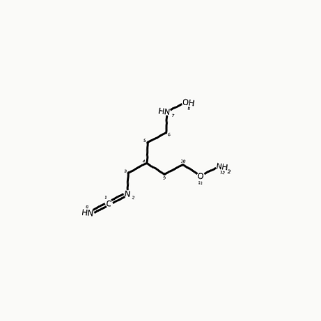 N=C=NCC(CCNO)CCON